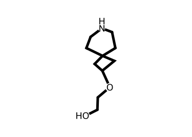 OCCOC1CC2(CCNCC2)C1